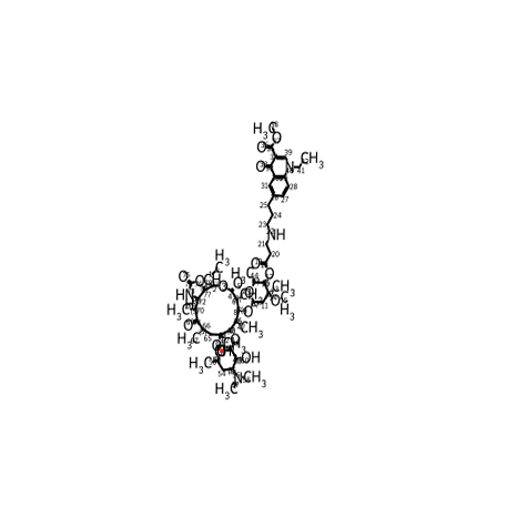 CC[C@@H]1OC(=O)[C@H](C)[C@H](O[C@@H]2C[C@](C)(OC)[C@H](OC(=O)CCNCCCc3ccc4c(c3)c(=O)c(C(=O)OC)cn4CC)[C@H](C)O2)[C@@H](C)[C@H](O[C@@H]2O[C@H](C)C[C@H](N(C)C)[C@@H]2O)[C@](C)(OC)C[C@H](C)C(=O)[C@@H](C)[C@H]2NC(=O)O[C@@]12C